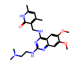 COc1cc2nc(NCCN(C)C)nc(NCc3c(C)cc(C)[nH]c3=O)c2cc1OC